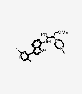 COC[C@H](C(O)Nc1cccc2c(-c3nc(Cl)ncc3F)c[nH]c12)N1CCN(C)CC1